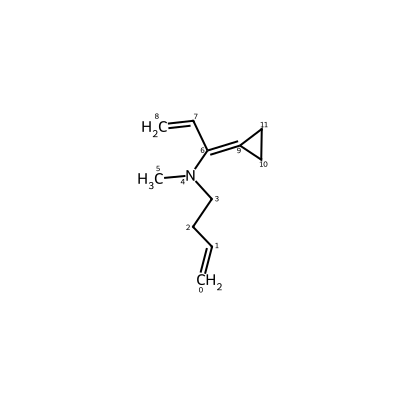 C=CCCN(C)C(C=C)=C1CC1